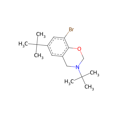 CC(C)(C)c1cc(Br)c2c(c1)CN(C(C)(C)C)CO2